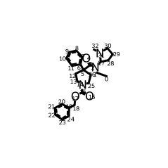 CCN(C(=O)C1(c2ccccc2)CCN(C(=O)OCc2ccccc2)CC1)C1CCCN1C